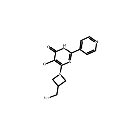 O=c1[nH]c(-c2ccncc2)nc(N2CC(CO)C2)c1Cl